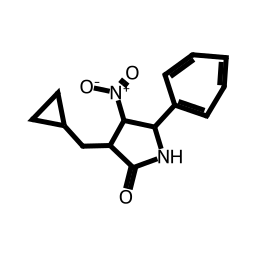 O=C1NC(c2ccccc2)C([N+](=O)[O-])C1CC1CC1